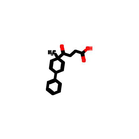 CC1(C(=O)CCC(=O)O)C=CC(c2ccccc2)C=C1